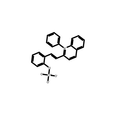 [O-][Cl+3]([O-])([O-])Oc1ccccc1C=Cc1ccc2ccccc2[n+]1-c1ccccc1